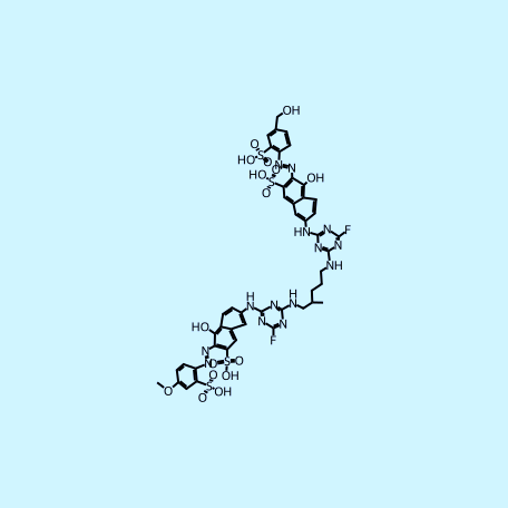 COc1ccc(/N=N/c2c(S(=O)(=O)O)cc3cc(Nc4nc(F)nc(NCC(C)CCCNc5nc(F)nc(Nc6ccc7c(O)c(/N=N/c8ccc(CO)cc8S(=O)(=O)O)c(S(=O)(=O)O)cc7c6)n5)n4)ccc3c2O)c(S(=O)(=O)O)c1